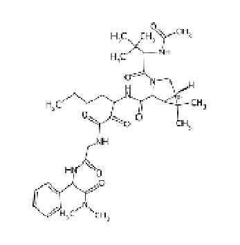 CCCCC(NC(=O)C1C2[C@H](CN1C(=O)C(NC(C)=O)C(C)(C)C)C2(C)C)C(=O)C(=O)NCC(=O)NC(C(=O)N(C)C)c1ccccc1